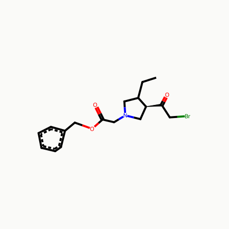 CCC1CN(CC(=O)OCc2ccccc2)C[C@@H]1C(=O)CBr